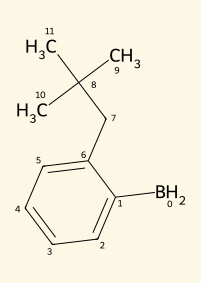 Bc1ccccc1CC(C)(C)C